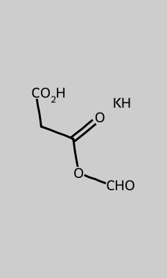 O=COC(=O)CC(=O)O.[KH]